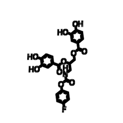 O=C(NCC(COC(=O)c1ccc(O)c(O)c1)OC(=O)c1ccc(O)c(O)c1)Oc1ccc(F)cc1